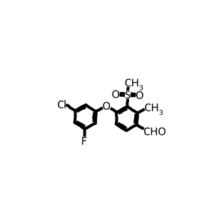 Cc1c(C=O)ccc(Oc2cc(F)cc(Cl)c2)c1S(C)(=O)=O